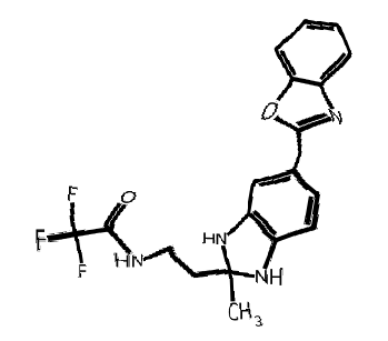 CC1(CCNC(=O)C(F)(F)F)Nc2ccc(-c3nc4ccccc4o3)cc2N1